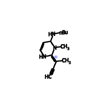 C#C/C(C)=C1\NC=CC(NCCCC)N1C